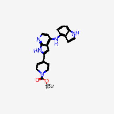 CC(C)(C)OC(=O)N1CC=C(c2cc3c(Nc4cccc5[nH]ccc45)ccnc3[nH]2)CC1